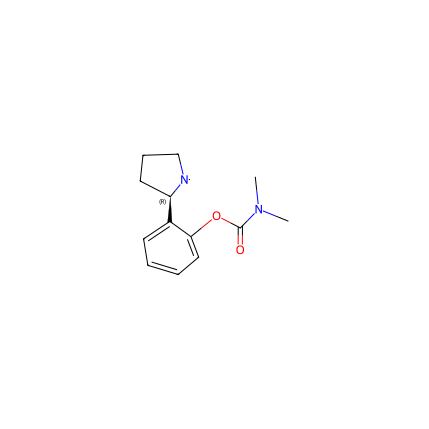 CN(C)C(=O)Oc1ccccc1[C@H]1CCC[N]1